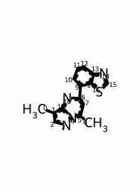 Cc1cnn2c(C)cc(-c3cccc4ncsc34)nc12